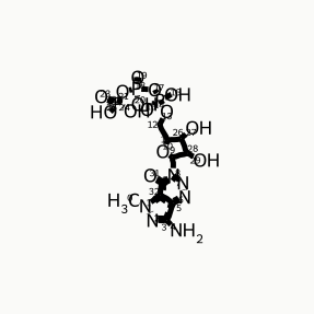 Cn1nc(N)c2nnn(C3OC(COP(=O)(O)OP(=O)(O)OP(=O)(O)O)C(O)C3O)c(=O)c21